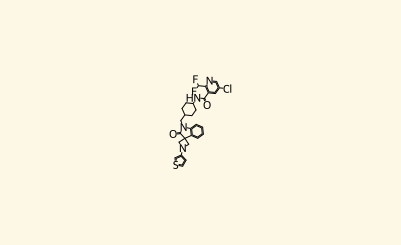 O=C(NC1CCC(CN2C(=O)C3(CN(c4ccsc4)C3)c3ccccc32)CC1)c1cc(Cl)cnc1C(F)F